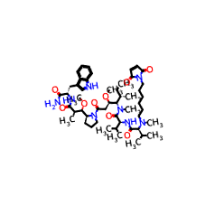 CC[C@H](C)[C@@H]([C@@H](CC(=O)N1CCC[C@H]1[C@H](OC)[C@@H](C)C(=O)N[C@@H](Cc1c[nH]c2ccccc12)C(N)=O)OC)N(C)C(=O)[C@@H](NC(=O)[C@H](C(C)C)N(C)CCCCCCN1C(=O)C=CC1=O)C(C)C